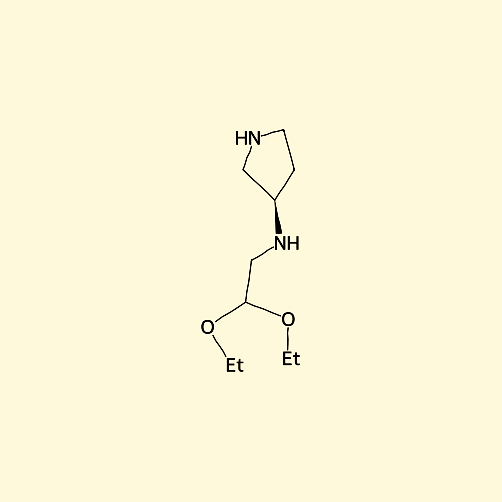 CCOC(CN[C@@H]1CCNC1)OCC